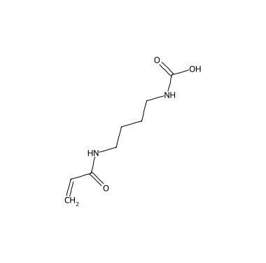 C=CC(=O)NCCCCNC(=O)O